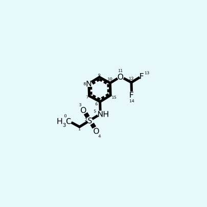 CCS(=O)(=O)Nc1cncc(OC(F)F)c1